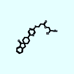 CCCCC(CC)COC(=O)CCSc1cnc(C2CCC3(CC2)Cc2ccccc2C3=O)cn1